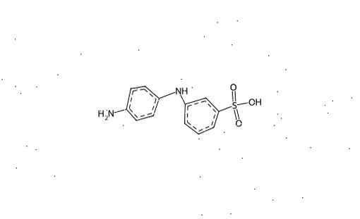 Nc1ccc(Nc2cccc(S(=O)(=O)O)c2)cc1